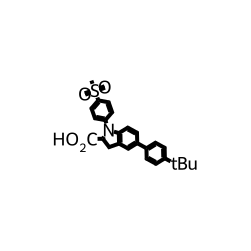 CC(C)(C)c1ccc(-c2ccc3c(c2)CC(C(=O)O)N3c2ccc(S(C)(=O)=O)cc2)cc1